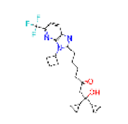 O=C(CCCCc1nc2ccc(C(F)(F)F)nc2n1C1CCC1)CC(O)(C1CC1)C1CC1